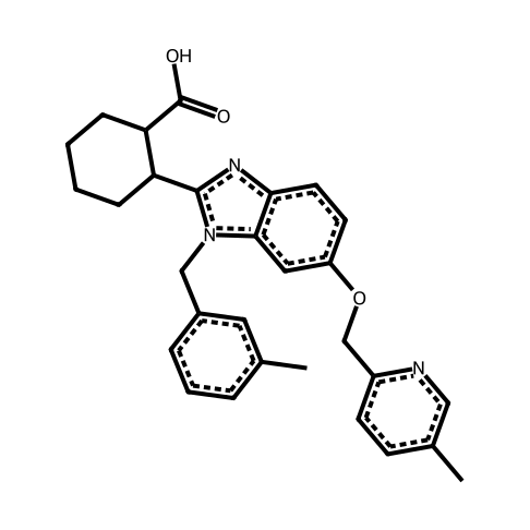 Cc1ccc(COc2ccc3nc(C4CCCCC4C(=O)O)n(Cc4cccc(C)c4)c3c2)nc1